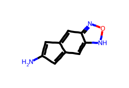 Nc1cc2cc3no[nH]c3cc2c1